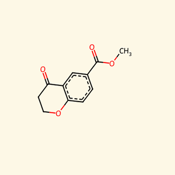 COC(=O)c1ccc2c(c1)C(=O)CCO2